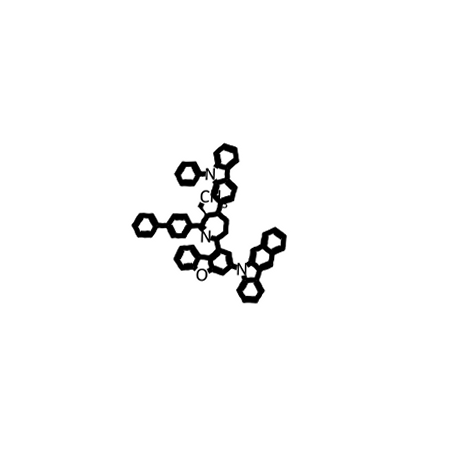 CC[C@@H]1C(c2ccc(-c3ccccc3)cc2)=NC(c2cc(-n3c4ccccc4c4cc5ccccc5cc43)cc3oc4ccccc4c23)CCC1c1ccc2c3ccccc3n(-c3ccccc3)c2c1